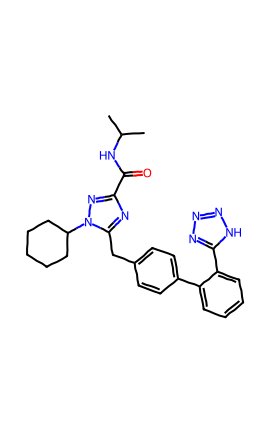 CC(C)NC(=O)c1nc(Cc2ccc(-c3ccccc3-c3nnn[nH]3)cc2)n(C2CCCCC2)n1